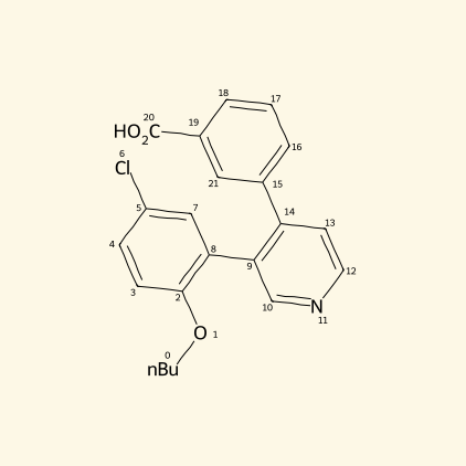 CCCCOc1ccc(Cl)cc1-c1cnccc1-c1cccc(C(=O)O)c1